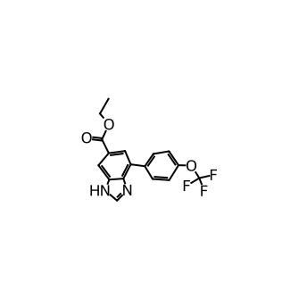 CCOC(=O)c1cc(-c2ccc(OC(F)(F)F)cc2)c2nc[nH]c2c1